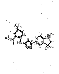 CC(=O)N(C)c1cc(C(F)(F)F)cnc1Nc1cc(C2=CC3C(=CN2)N(C(C)C)CC3(C)C)ns1